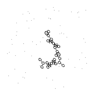 c1ccc(-c2cc(-c3ccccc3)cc(-c3ccc4c5cc6c(cc5n5c7ccccc7c3c45)c3ccc(-c4cc(-c5ccccc5)cc(-c5cccc(-c7cccc8c7oc7ccc(-c9ccc%10c%11cc%12c(cc%11n%11c%13ccccc%13c9c%10%11)c9ccc(-c%10ccc%11oc%13ccccc%13c%11c%10)c%10c%11ccccc%11n%12c9%10)cc78)c5)c4)c4c5ccccc5n6c34)c2)cc1